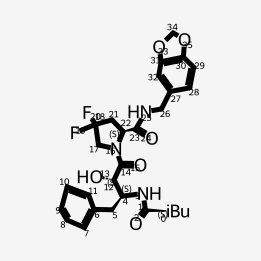 CC[C@H](C)C(=O)N[C@@H](Cc1ccccc1)[C@H](O)C(=O)N1CC(F)(F)C[C@H]1C(=O)NCc1ccc2c(c1)OCO2